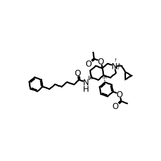 CC(=O)Oc1cccc([C@@]23CC[N@+](C)(CC4CC4)CC2(OC(C)=O)CC[C@@H](NC(=O)CCCCCc2ccccc2)C3)c1